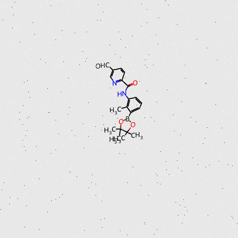 Cc1c(NC(=O)c2ccc(C=O)cn2)cccc1B1OC(C)(C)C(C)(C)O1